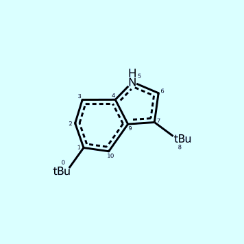 CC(C)(C)c1ccc2[nH]cc(C(C)(C)C)c2c1